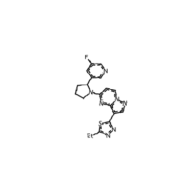 CCc1nnc(-c2cnn3ccc(N4CCCC4c4cncc(F)c4)nc23)s1